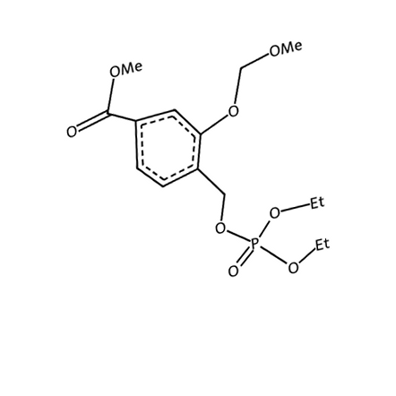 CCOP(=O)(OCC)OCc1ccc(C(=O)OC)cc1OCOC